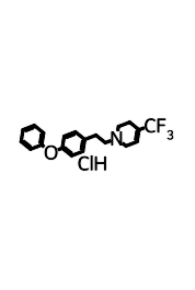 Cl.FC(F)(F)C1=CCN(CCc2ccc(Oc3ccccc3)cc2)CC1